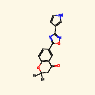 CCC1(CC)CC(=O)c2cc(-c3nc(-c4cc[nH]c4)no3)ccc2O1